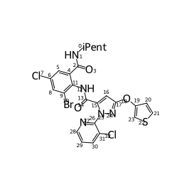 CCCC(C)NC(=O)c1cc(Cl)cc(Br)c1NC(=O)c1cc(Oc2ccsc2)nn1-c1ncccc1Cl